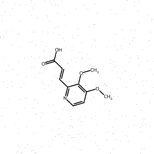 COc1ccnc(C=CC(=O)O)c1OC